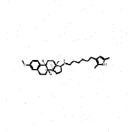 COc1ccc2c(c1)CC[C@@H]1[C@@H]2CC[C@]2(C)C(NCCCCCCc3cc(C)[nH]c3C)CC[C@@H]12